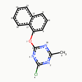 Cc1nc(Cl)nc(Oc2cccc3ccccc23)n1